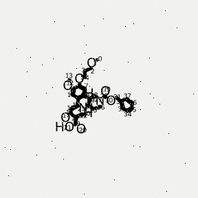 COCCCOc1cc2c(cc1OC)-c1cc(=O)c(C(=O)O)cn1[C@@H]1CCN(C(=O)OCc3ccccc3)C[C@@H]21